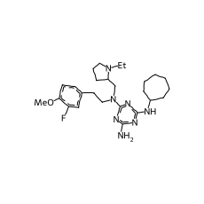 CCN1CCCC1CN(CCc1ccc(OC)c(F)c1)c1nc(N)nc(NC2CCCCCC2)n1